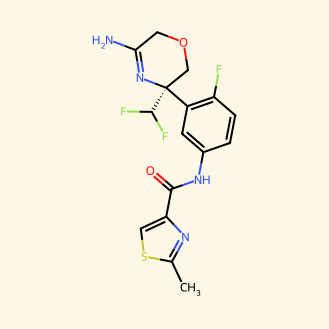 Cc1nc(C(=O)Nc2ccc(F)c([C@]3(C(F)F)COCC(N)=N3)c2)cs1